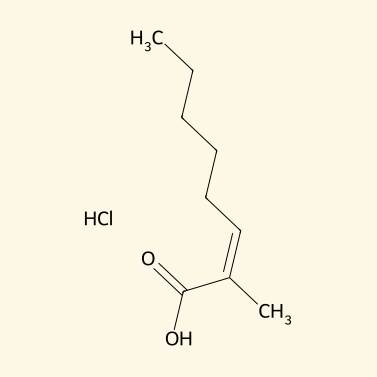 CCCCCC=C(C)C(=O)O.Cl